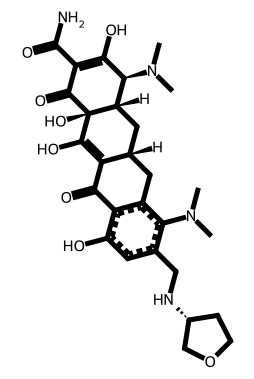 CN(C)c1c(CN[C@@H]2CCOC2)cc(O)c2c1C[C@H]1C[C@H]3[C@H](N(C)C)C(O)=C(C(N)=O)C(=O)[C@@]3(O)C(O)=C1C2=O